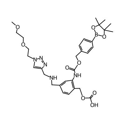 COCCOCCn1cc(CNCc2ccc(COC(=O)O)c(NC(=O)OCc3ccc(B4OC(C)(C)C(C)(C)O4)cc3)c2)nn1